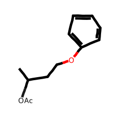 CC(=O)OC(C)CCOc1ccccc1